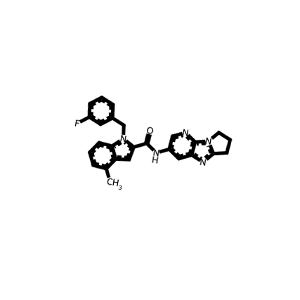 Cc1cccc2c1cc(C(=O)Nc1cnc3c(c1)nc1n3CCC1)n2Cc1cccc(F)c1